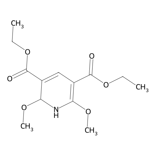 CCOC(=O)C1=CC(C(=O)OCC)=C(OC)NC1OC